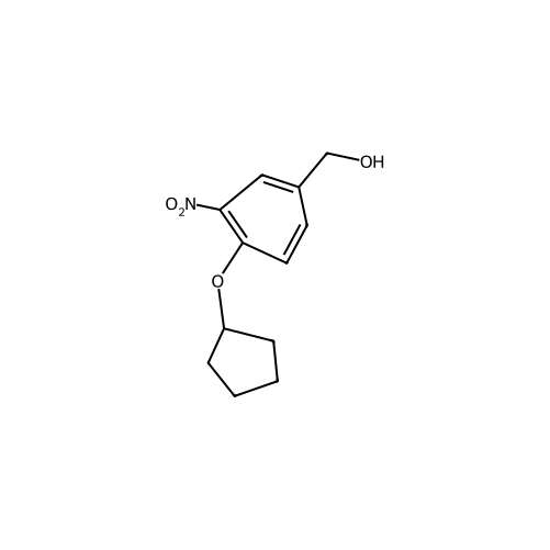 O=[N+]([O-])c1cc(CO)ccc1OC1CCCC1